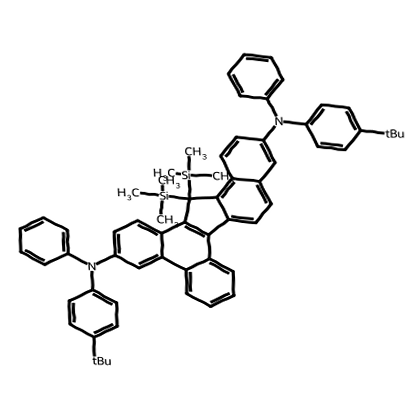 CC(C)(C)c1ccc(N(c2ccccc2)c2ccc3c4c(ccc3c2)-c2c(c3ccc(N(c5ccccc5)c5ccc(C(C)(C)C)cc5)cc3c3ccccc23)C4([Si](C)(C)C)[Si](C)(C)C)cc1